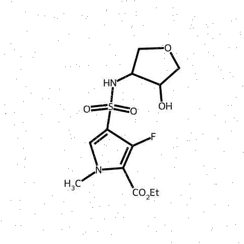 CCOC(=O)c1c(F)c(S(=O)(=O)NC2COCC2O)cn1C